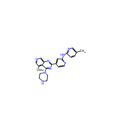 COc1cncc2nc(-c3ccnc(Nc4ccc(C)cn4)c3)nc(N3CCNCC3)c12